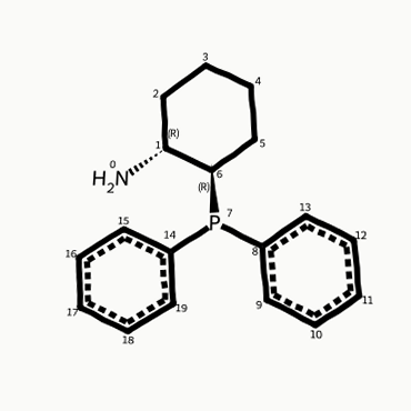 N[C@@H]1CCCC[C@H]1P(c1ccccc1)c1ccccc1